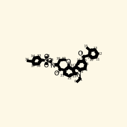 CCn1c2ccc(C(=O)c3ccccc3C)cc2c2c3c(ccc21)C(=O)/C(=N/OS(=O)(=O)c1ccc(C)cc1)CCO3